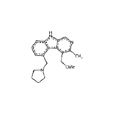 COCc1c(C)ncc2[nH]c3cccc(CN4CCCC4)c3c12